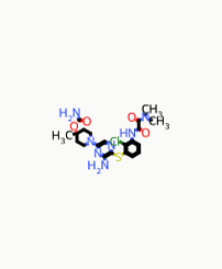 CN(C)C(=O)C(=O)Nc1cccc(Sc2ncc(N3CCC(C)(OC(N)=O)CC3)nc2N)c1Cl